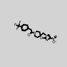 O=C(Cc1ccc(C(F)(F)F)cc1)N1CCC2(CC1)Cn1cc([N+](=O)[O-])nc1O2